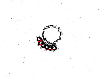 c1ccc([As]2CCCCCCCCCCCCCCCCC[As](c3ccccc3)[As](c3ccccc3)[As](c3ccccc3)[As](c3ccccc3)[As]2c2ccccc2)cc1